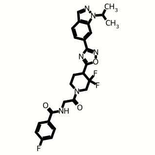 CC(C)n1ncc2ccc(-c3noc(C4CCN(C(=O)CNC(=O)c5ccc(F)cc5)CC4(F)F)n3)cc21